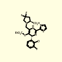 CCOC(=O)OC1=C(CN2CC(F)(F)C[C@H]2C(=O)O)NC(c2nccs2)=N[C@@H]1c1cccc(F)c1Cl